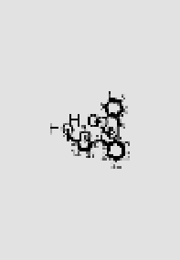 COc1ccccc1Cn1nc(-c2ccc(CO)o2)c2ccccc21